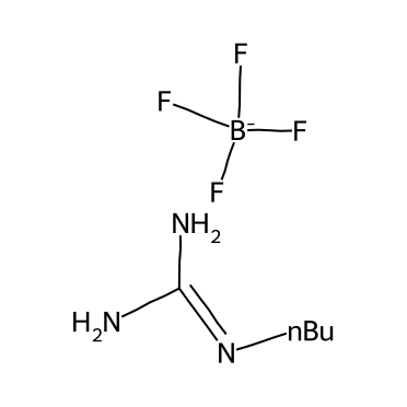 CCCCN=C(N)N.F[B-](F)(F)F